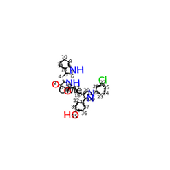 COC(=O)[C@H](Cc1c[nH]c2ccccc12)NC(=O)/C=C/c1cn(-c2cccc(Cl)c2)nc1-c1ccc(O)cc1